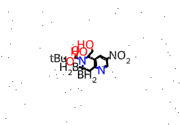 BC1(B)Cc2ncc([N+](=O)[O-])cc2C(O)(CO)N1C(=O)OC(C)(C)C